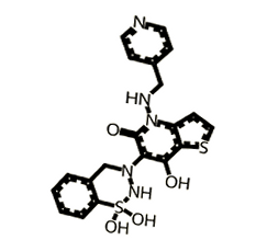 O=c1c(N2Cc3ccccc3S(O)(O)N2)c(O)c2sccc2n1NCc1ccncc1